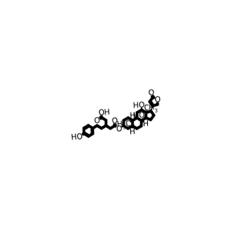 C[C@]12CC[C@H](OC(=O)CC(CCc3ccc(O)cc3)CC(=O)O)C[C@H]1CC[C@@H]1[C@@H]2C[C@@H](O)[C@]2(C)[C@@H](C3=CC(=O)OC3)CC[C@]12O